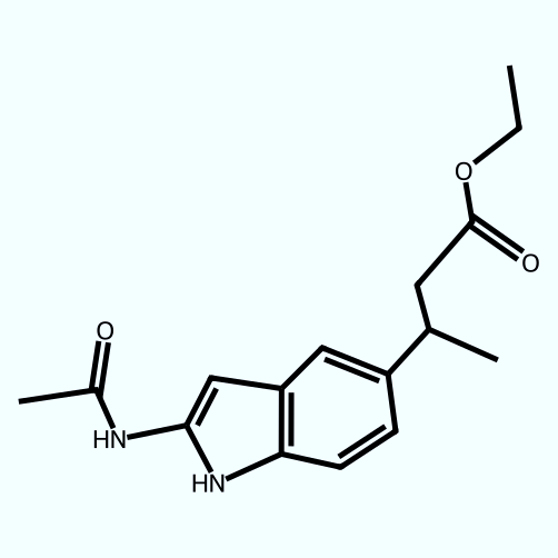 CCOC(=O)CC(C)c1ccc2[nH]c(NC(C)=O)cc2c1